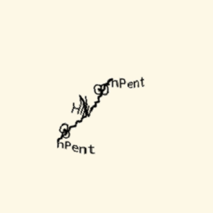 CCCCC/C=C\CCOC(=O)CCCCCCCN(CCCCCCCC(=O)OCC/C=C\CCCCC)NCCN(C)C